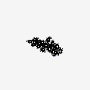 C=C(c1oc2c(N(c3ccccc3)c3cccc4c3c3cccc5c6c(-c7ccccc7)c7c(c(-c8ccccc8)c6n4c35)c3cccc4c5c(N(c6ccccc6)c6cccc8c6oc6c(C9CCCCC9)cccc68)cccc5n7c43)cccc2c1/C=C\C)C1CCCCC1